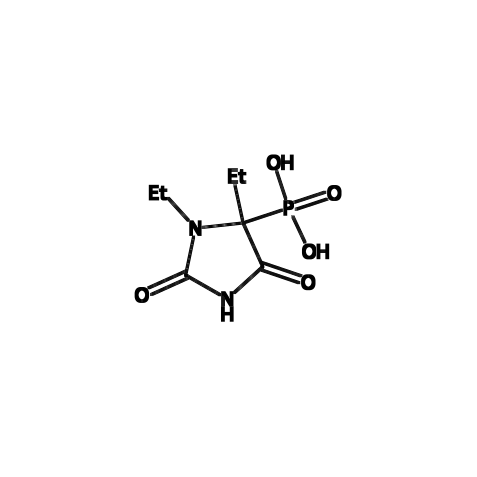 CCN1C(=O)NC(=O)C1(CC)P(=O)(O)O